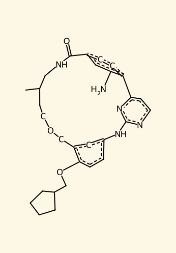 CC1CCOCc2cc(ccc2OCC2CCCC2)Nc2nccc(n2)-c2ccc(cc2N)C(=O)NC1